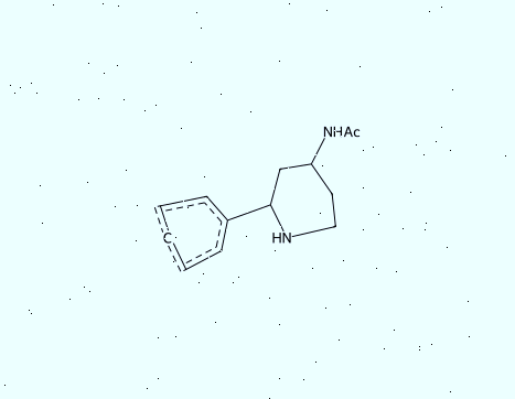 CC(=O)NC1CCNC(c2ccccc2)C1